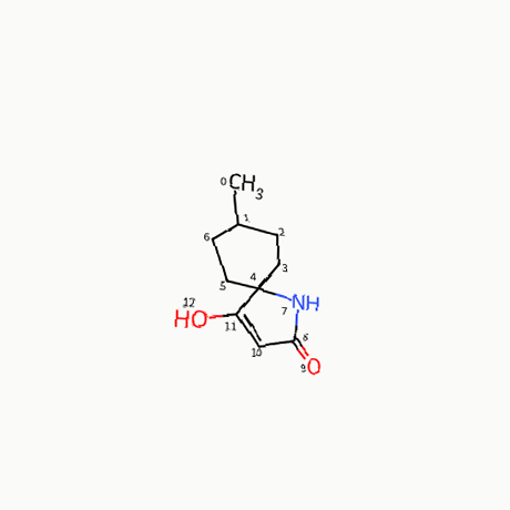 CC1CCC2(CC1)NC(=O)C=C2O